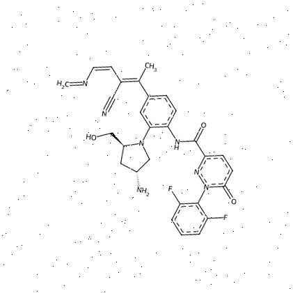 C=N/C=C\C(C#N)=C(/C)c1ccc(NC(=O)c2ccc(=O)n(-c3c(F)cccc3F)n2)c(N2C[C@H](N)C[C@H]2CO)c1